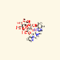 O=C(O)C(O)C(O)C(=O)O.O=C(O)C(O)C(O)C(=O)O.c1ccc(N2CCN(Cc3nc4ccccc4[nH]3)CC2)nc1